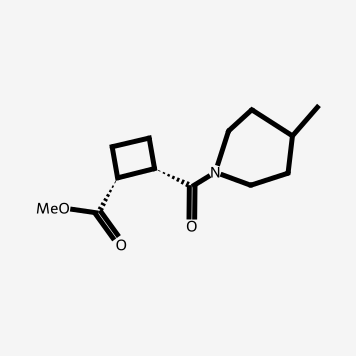 COC(=O)[C@@H]1CC[C@@H]1C(=O)N1CCC(C)CC1